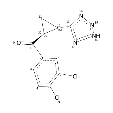 O=C(c1ccc(Cl)c(Cl)c1)[C@H]1C[C@@H]1c1nn[nH]n1